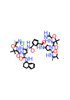 CN[C@@H](C)C(=O)N[C@H](C(=O)N1C[C@@H](NC(=O)c2cccc(C(=O)N[C@H]3C[C@@H](C(=O)N[C@@H]4CCCc5ccccc54)N(C(=O)[C@@H](NC(=O)[C@H](C)N(C)Cl)C(C)(C)C)C3)c2)C[C@H]1C(=O)N[C@H](C)C(C)C)C(C)(C)C